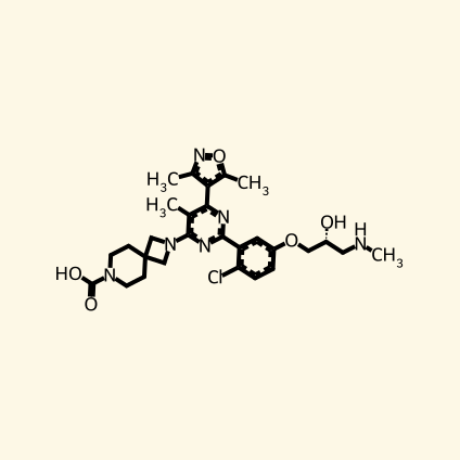 CNC[C@@H](O)COc1ccc(Cl)c(-c2nc(-c3c(C)noc3C)c(C)c(N3CC4(CCN(C(=O)O)CC4)C3)n2)c1